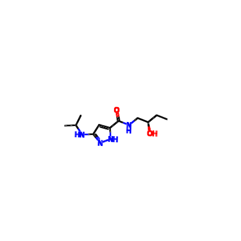 CC[C@@H](O)CNC(=O)c1cc(NC(C)C)n[nH]1